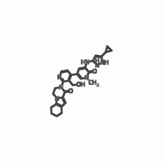 Cn1cc(-c2ccnc(N3CCn4c(cc5c4CCCC5)C3=O)c2CO)cc(NC2C=C(C3CC3)NN2)c1=O